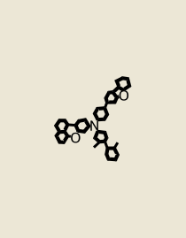 Cc1ccccc1-c1ccc(N(c2ccc(-c3ccc4c(c3)oc3ccccc34)cc2)c2ccc3c(c2)Oc2cccc4cccc-3c24)cc1C